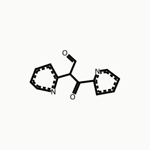 O=CC(C(=O)c1ccccn1)c1ccccn1